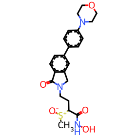 C[S+]([O-])C(CCN1Cc2cc(-c3ccc(N4CCOCC4)cc3)ccc2C1=O)C(=O)NO